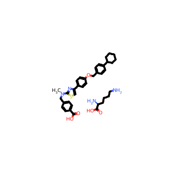 CN(Cc1ccc(C(=O)O)cc1)c1nc(-c2ccc(OCc3ccc(C4CCCCC4)cc3)cc2)cs1.NCCCC[C@H](N)C(=O)O